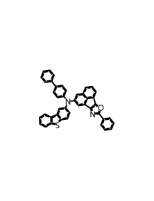 c1ccc(-c2ccc(N(c3cc4c5c(cccc5c3)-c3oc(-c5ccccc5)nc3-4)c3ccc4sc5ccccc5c4c3)cc2)cc1